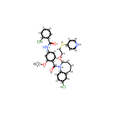 COc1cc(NC(=O)c2ccccc2Cl)ccc1C(=O)N1c2ccc(Cl)cc2CCCC1OCCSc1ccncc1